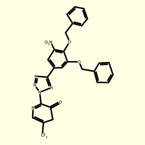 O=C1CC(C(F)(F)F)=CN=C1n1nnc(-c2cc(OCc3ccccc3)c(OCc3ccccc3)c([N+](=O)[O-])c2)n1